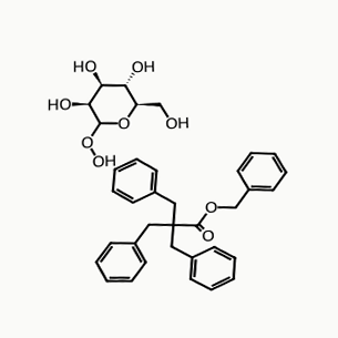 O=C(OCc1ccccc1)C(Cc1ccccc1)(Cc1ccccc1)Cc1ccccc1.OC[C@H]1OC(OO)[C@@H](O)[C@@H](O)[C@@H]1O